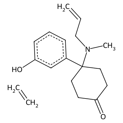 C=C.C=CCN(C)C1(c2cccc(O)c2)CCC(=O)CC1